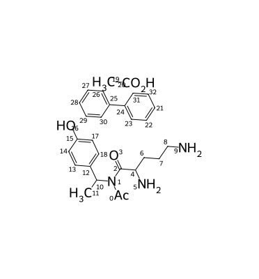 CC(=O)N(C(=O)C(N)CCCN)C(C)c1ccc(O)cc1.CC(=O)O.c1ccc(-c2ccccc2)cc1